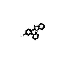 Clc1ccc2c(c1)c1ccccc1n1c3ccccc3nc21